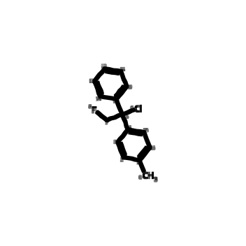 Cc1ccc(C(Cl)(CF)c2ccccc2)cc1